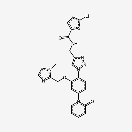 Cn1ccnc1COc1cc(-n2ccccc2=O)ccc1-n1cc(CNC(=O)c2ccc(Cl)s2)nn1